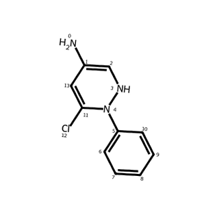 NC1=CNN(c2ccccc2)C(Cl)=C1